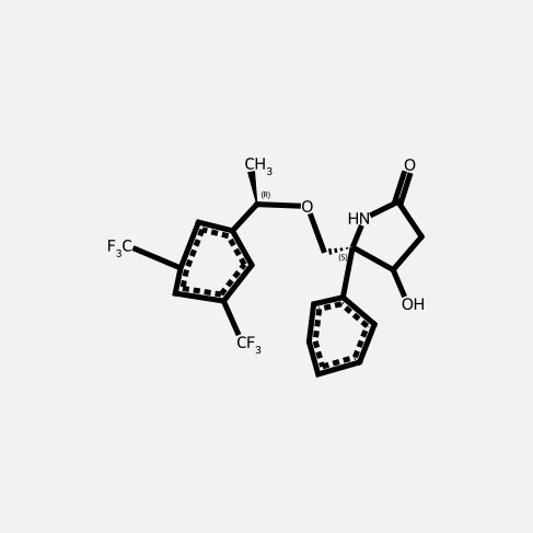 C[C@@H](OC[C@]1(c2ccccc2)NC(=O)CC1O)c1cc(C(F)(F)F)cc(C(F)(F)F)c1